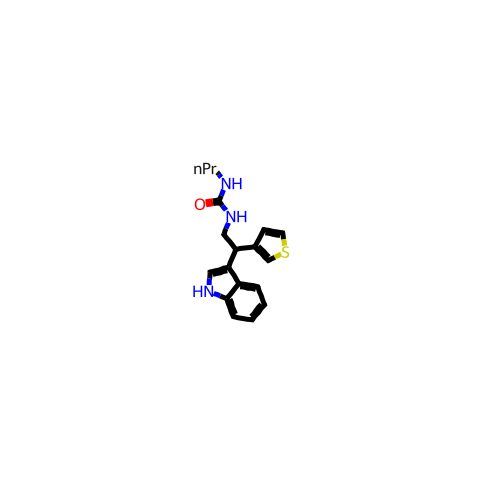 CCCNC(=O)NCC(c1ccsc1)c1c[nH]c2ccccc12